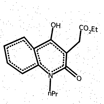 CCCn1c(=O)c(CC(=O)OCC)c(O)c2ccccc21